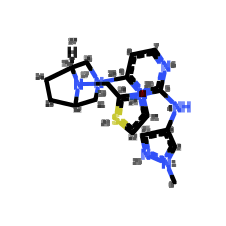 Cn1cc(Nc2nccc(N3CC4CC[C@@H](C3)N4Cc3nccs3)n2)cn1